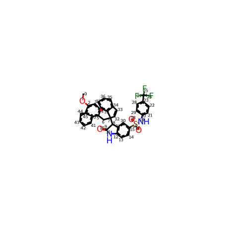 COc1ccc(CC2(C3C(=O)Nc4ccc(S(=O)(=O)Nc5ccc(C(F)(F)F)cc5)cc43)C=Cc3ccccc32)c2ccccc12